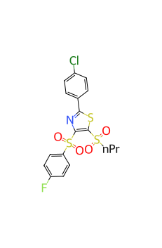 CCCS(=O)(=O)c1sc(-c2ccc(Cl)cc2)nc1S(=O)(=O)c1ccc(F)cc1